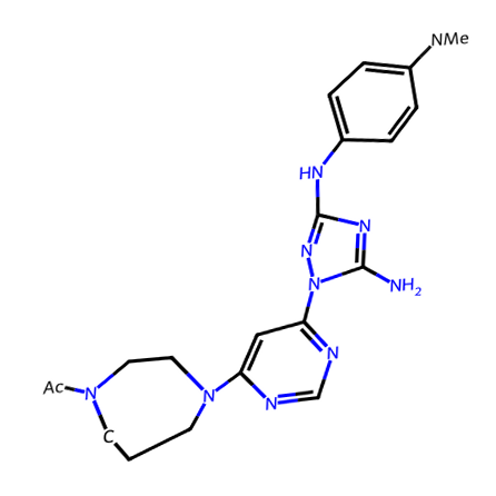 CNc1ccc(Nc2nc(N)n(-c3cc(N4CCCN(C(C)=O)CC4)ncn3)n2)cc1